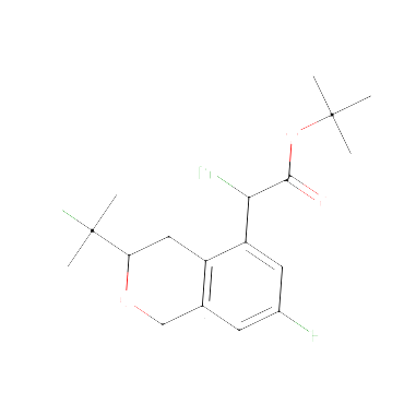 CC(C)(C)OC(=O)C(Br)c1cc(F)cc2c1CC(C(C)(C)F)OC2